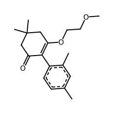 COCCOC1=C(c2ccc(C)cc2C)C(=O)CC(C)(C)C1